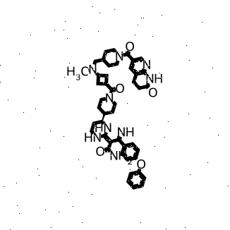 CN(CC1CCN(C(=O)c2cnc3c(c2)CCC(=O)N3)CC1)C1CC(C(=O)N2CCC([C@@H]3CCN/C(=C(/C(=N)c4ccc(Oc5ccccc5)cc4)C(N)=O)N3)CC2)C1